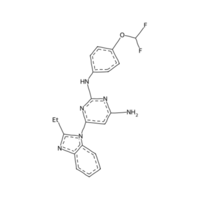 CCc1nc2ccccc2n1-c1cc(N)nc(Nc2ccc(OC(F)F)cc2)n1